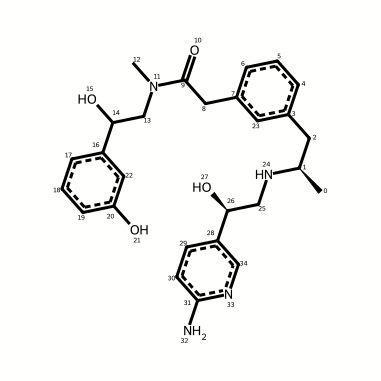 C[C@H](Cc1cccc(CC(=O)N(C)CC(O)c2cccc(O)c2)c1)NC[C@H](O)c1ccc(N)nc1